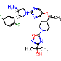 C[C@H](Oc1cnc(N2C[C@H](C3=CC(F)CC=C3F)[C@@H](N)C2)nc1)C1CCN(c2nc(C(C)(C)O)no2)CC1